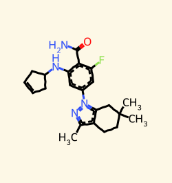 Cc1nn(-c2cc(F)c(C(N)=O)c(NC3CC=CC3)c2)c2c1CCC(C)(C)C2